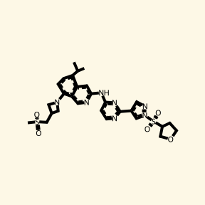 CC(C)c1ccc(N2CC(CS(C)(=O)=O)C2)c2cnc(Nc3ccnc(-c4cnn(S(=O)(=O)C5CCOC5)c4)n3)cc12